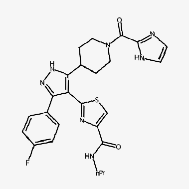 CCCNC(=O)c1csc(-c2c(-c3ccc(F)cc3)n[nH]c2C2CCN(C(=O)c3ncc[nH]3)CC2)n1